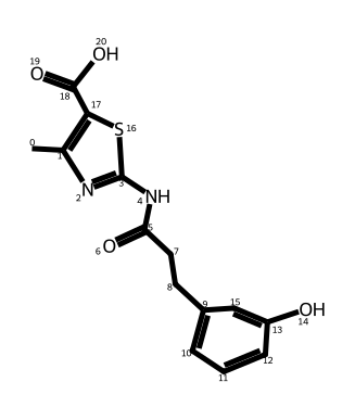 Cc1nc(NC(=O)CCc2cccc(O)c2)sc1C(=O)O